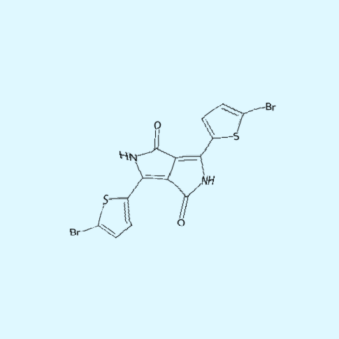 O=C1NC(c2ccc(Br)s2)=C2C(=O)NC(c3ccc(Br)s3)=C12